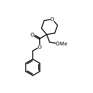 COCC1(C(=O)OCc2ccccc2)CCOCC1